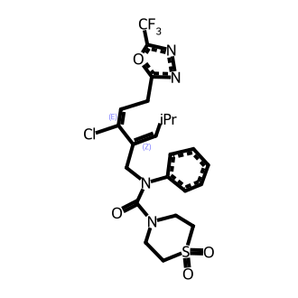 CC(C)/C=C(CN(C(=O)N1CCS(=O)(=O)CC1)c1ccccc1)\C(Cl)=C/Cc1nnc(C(F)(F)F)o1